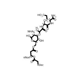 CCCCCCCCCCCC(=O)O[C@H](CCCCCCCCC)CC(=O)OC[C@H]1OC(O)[C@H](NC(C)=O)[C@H](OC(C)C(=O)N[C@@H](C)C(=O)N[C@H](CCC(=O)O)C(N)=O)[C@@H]1O